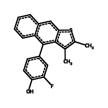 Cc1sc2cc3ccccc3c(-c3ccc(O)c(F)c3)c2c1C